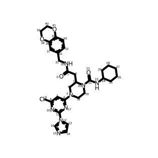 O=C(CC1CN(c2cc(Cl)nc(-n3ccnc3)n2)CCN1C(=O)NC1CCCCC1)NCc1ccc2c(c1)OCCO2